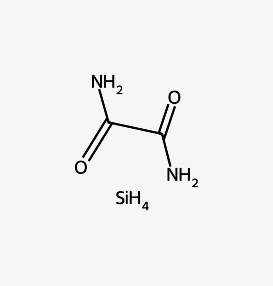 NC(=O)C(N)=O.[SiH4]